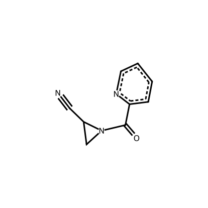 N#CC1CN1C(=O)c1ccccn1